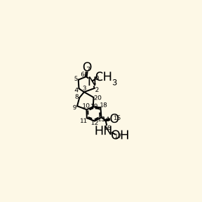 CN1CC2(CCC1=O)CCc1ccc(C(=O)NO)cc1C2